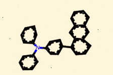 c1ccc(N(c2ccccc2)c2ccc(-c3cccc4cc5ccccc5cc34)cc2)cc1